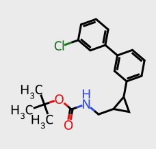 CC(C)(C)OC(=O)NCC1CC1c1cccc(-c2cccc(Cl)c2)c1